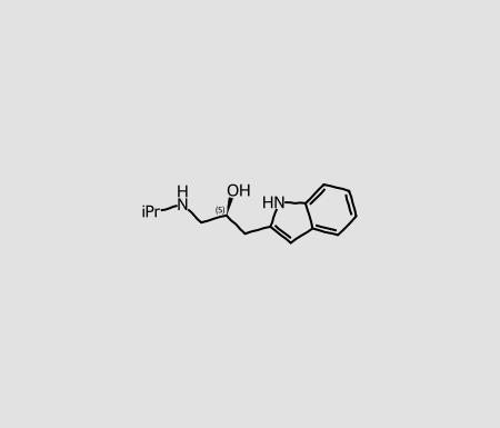 CC(C)NC[C@@H](O)Cc1cc2ccccc2[nH]1